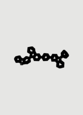 C1=CC2C3C=C(c4ccc(-c5ccc6c(c5)c5ccccc5n6-c5ccccc5)cc4)C=CC3N(C3C=Cc4oc5ccccc5c4C3)C2C=C1